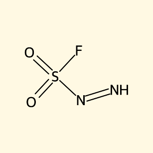 N=NS(=O)(=O)F